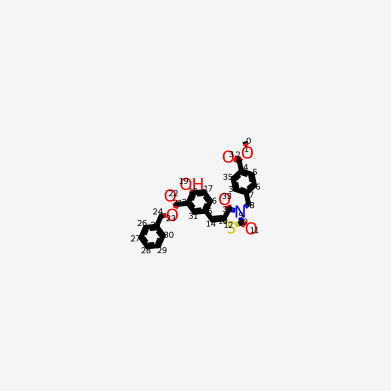 COC(=O)c1ccc(CN2C(=O)SC(=Cc3ccc(O)c(C(=O)OCc4ccccc4)c3)C2=O)cc1